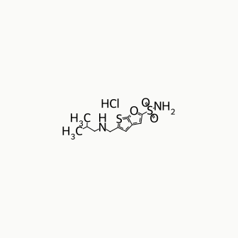 CC(C)CNCc1cc2cc(S(N)(=O)=O)oc2s1.Cl